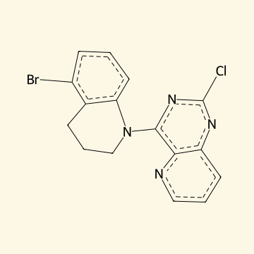 Clc1nc(N2CCCc3c(Br)cccc32)c2ncccc2n1